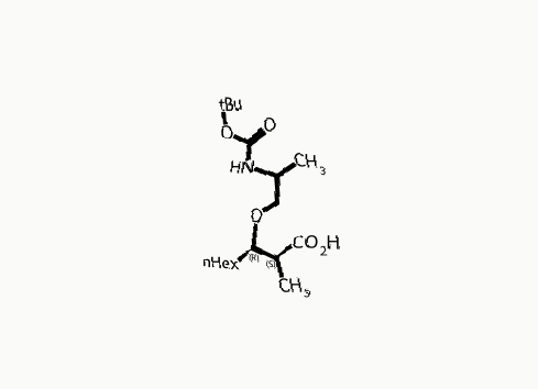 CCCCCC[C@@H](OCC(C)NC(=O)OC(C)(C)C)[C@H](C)C(=O)O